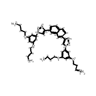 NCCCOc1cc(OCCCN)cc(-n2cc(-c3ccc4ccc(-c5cn(-c6cc(OCCCN)cc(OCCCN)c6)nn5)cc4c3)nn2)c1